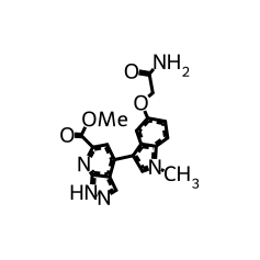 COC(=O)c1cc(-c2cn(C)c3ccc(OCC(N)=O)cc23)c2cn[nH]c2n1